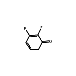 O=C1CC=CC(F)=C1F